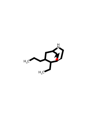 CCCC1CC2NCC[C@@]3(CCCCC23)C1CC